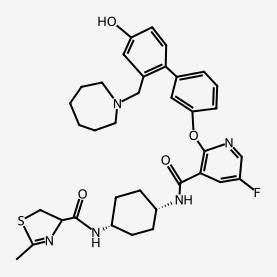 CC1=NC(C(=O)N[C@H]2CC[C@@H](NC(=O)c3cc(F)cnc3Oc3cccc(-c4ccc(O)cc4CN4CCCCCC4)c3)CC2)CS1